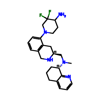 CN(C[C@@H]1Cc2c(cccc2N2CCC(N)C(F)(F)C2)CN1)[C@H]1CCCc2cccnc21